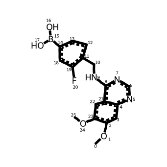 COc1cc2ncnc(NCc3ccc(B(O)O)cc3F)c2cc1OC